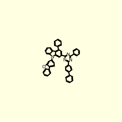 c1ccc(-c2ccc(-c3nc(-c4ccccc4)nc(-c4cc(-c5ccccc5)c5c6ccccc6n(-c6ccc7c(c6)oc6ccccc67)c5c4)n3)cc2)cc1